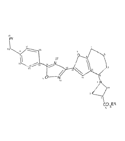 CCOC(=O)C1CN(C2CCCc3oc(-c4noc(-c5ccc(CC(C)C)cc5)n4)cc32)C1